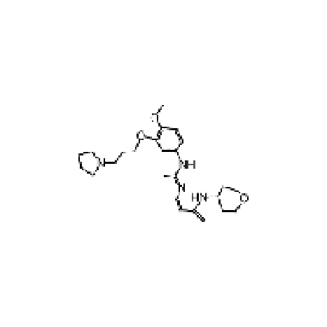 C=C(/C=C\N=C(/C)Nc1ccc(OC)c(OCCCN2CCCC2)c1)NC1CCOCC1